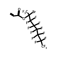 C=CC(=O)OC(Br)(C(F)(F)F)C(F)(F)C(F)(F)C(F)(F)C(F)(F)C(F)(F)C(F)(F)F